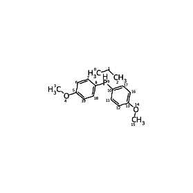 CCC.COc1ccc(Pc2ccc(OC)cc2)cc1